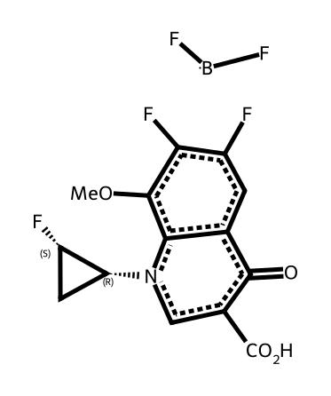 COc1c(F)c(F)cc2c(=O)c(C(=O)O)cn([C@@H]3C[C@@H]3F)c12.F[B]F